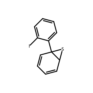 Ic1ccccc1C12C=CC=CC1S2